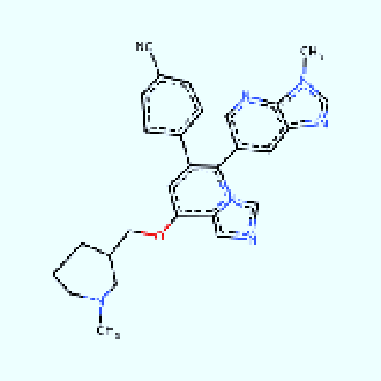 CN1CCCC(COc2cc(-c3ccc(C#N)cc3)c(-c3cnc4c(c3)ncn4C)n3cncc23)C1